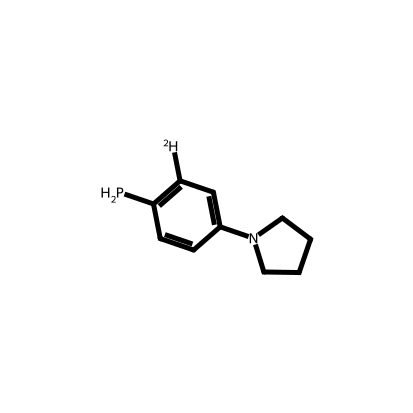 [2H]c1cc(N2CCCC2)ccc1P